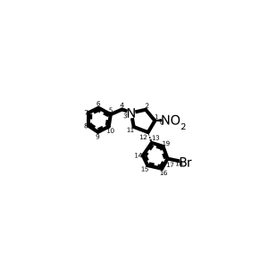 O=[N+]([O-])[C@@H]1CN(Cc2ccccc2)C[C@H]1c1cccc(Br)c1